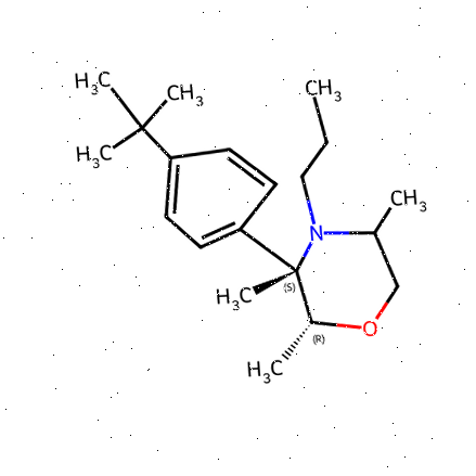 CCCN1C(C)CO[C@H](C)[C@]1(C)c1ccc(C(C)(C)C)cc1